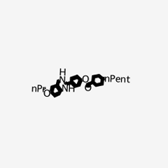 CCCCCC1CCC(C(=O)Oc2ccc(C3NCc4cc(OCCC)ccc4N3)cc2)CC1